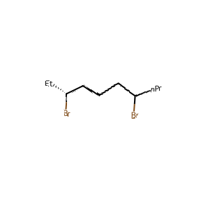 CCCC(Br)CCC[C@H](Br)CC